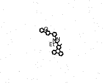 CCc1nc(-c2cccc(-c3ccc4c(c3)oc3ccccc34)c2)ncc1-c1cc2c3ccccc3c3ccccc3c2cc1C